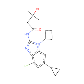 CC(C)(O)CC(=O)Nc1nc2c(F)cc(C3CC3)cc2n1C1CCC1